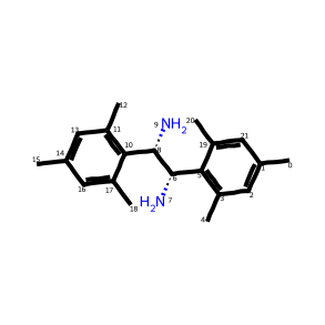 Cc1cc(C)c([C@H](N)[C@@H](N)c2c(C)cc(C)cc2C)c(C)c1